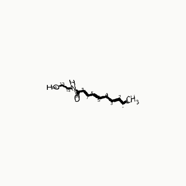 CCCCC/C=C/C=C/C(=O)NCCO